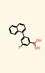 OB(O)c1cc(F)cc(-c2cccc3ccccc23)c1